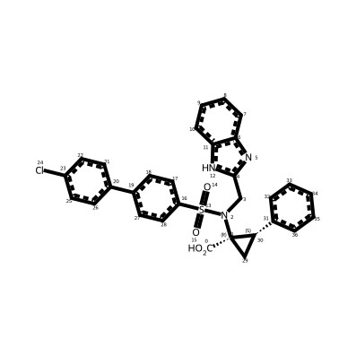 O=C(O)[C@@]1(N(Cc2nc3ccccc3[nH]2)S(=O)(=O)c2ccc(-c3ccc(Cl)cc3)cc2)C[C@H]1c1ccccc1